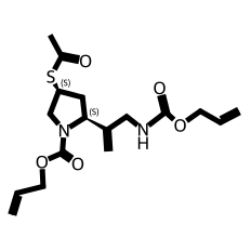 C=CCOC(=O)NCC(=C)[C@@H]1C[C@H](SC(C)=O)CN1C(=O)OCC=C